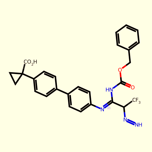 N=NC(/C(=N/c1ccc(-c2ccc(C3(C(=O)O)CC3)cc2)cc1)NC(=O)OCc1ccccc1)C(F)(F)F